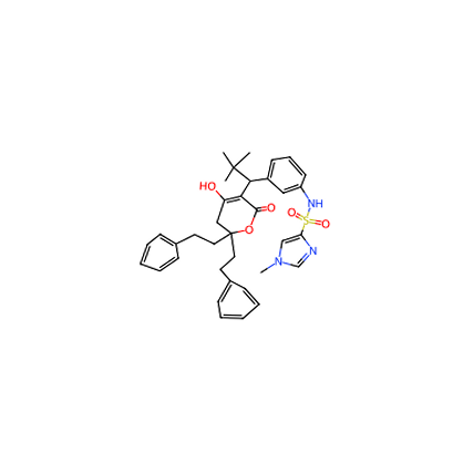 Cn1cnc(S(=O)(=O)Nc2cccc(C(C3=C(O)CC(CCc4ccccc4)(CCc4ccccc4)OC3=O)C(C)(C)C)c2)c1